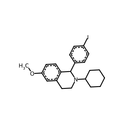 COc1ccc2c(c1)CCN(C1CCCCC1)C2c1ccc(I)cc1